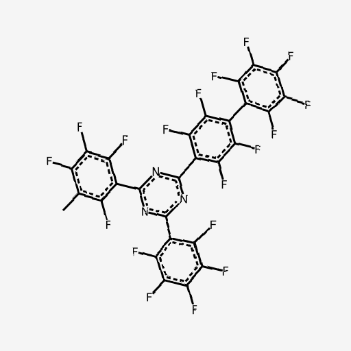 Cc1c(F)c(F)c(F)c(-c2nc(-c3c(F)c(F)c(F)c(F)c3F)nc(-c3c(F)c(F)c(-c4c(F)c(F)c(F)c(F)c4F)c(F)c3F)n2)c1F